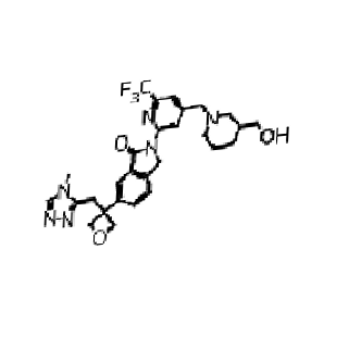 Cn1cnnc1CC1(c2ccc3c(c2)C(=O)N(c2cc(CN4CCCC(CO)C4)cc(C(F)(F)F)n2)C3)COC1